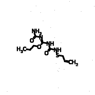 C=CCSNC(=O)NC(=NC(N)=O)OCCC